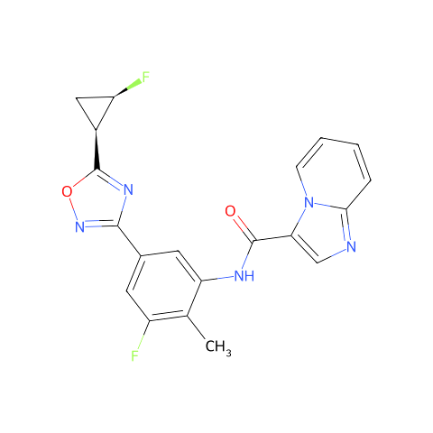 Cc1c(F)cc(-c2noc([C@H]3C[C@H]3F)n2)cc1NC(=O)c1cnc2ccccn12